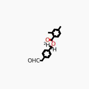 [2H]C([2H])(OC(=O)c1ccc(C)cc1C)c1ccc(CC=O)cc1